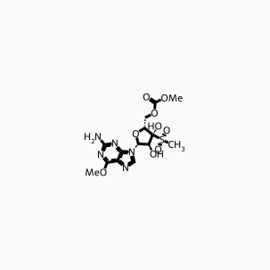 COC(=O)OC[C@H]1O[C@@H](n2cnc3c(OC)nc(N)nc32)[C@H](O)[C@]1(O)S(C)(=O)=O